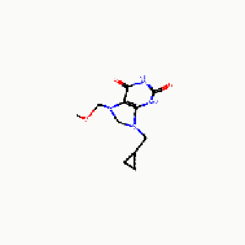 COCN1CN(CC2CC2)c2[nH]c(=O)[nH]c(=O)c21